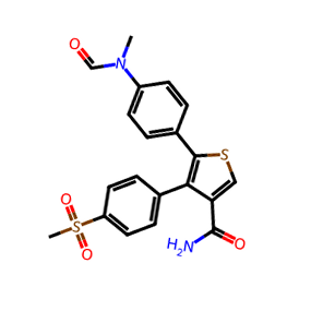 CN(C=O)c1ccc(-c2scc(C(N)=O)c2-c2ccc(S(C)(=O)=O)cc2)cc1